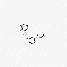 O=C(O)/C(O)=C\C(=O)c1cccc(NS(=O)(=O)c2cccc(Cl)c2Cl)c1